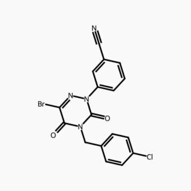 N#Cc1cccc(-n2nc(Br)c(=O)n(Cc3ccc(Cl)cc3)c2=O)c1